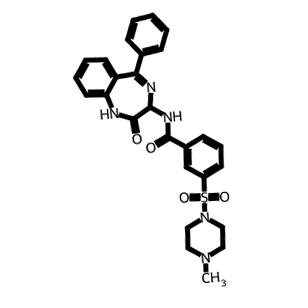 CN1CCN(S(=O)(=O)c2cccc(C(=O)NC3N=C(c4ccccc4)c4ccccc4NC3=O)c2)CC1